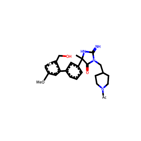 COc1ccc(CO)c(-c2cccc(C3(C)NC(=N)N(CC4CCN(C(C)=O)CC4)C3=O)c2)c1